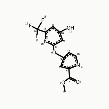 COC(=O)c1cc(Oc2cc(O)cc(C(F)(F)F)n2)ccn1